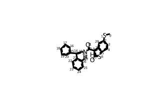 CSc1ccc2sc(O)c(C(=O)NC=C(c3ccccc3)c3ccccc3F)c2c1